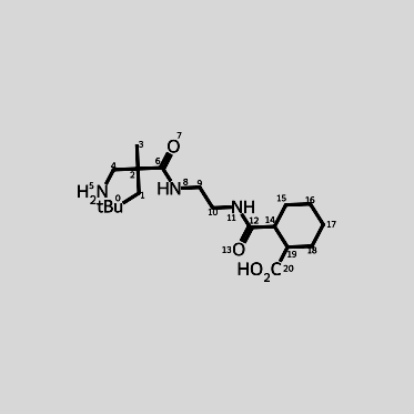 CC(C)(C)CC(C)(CN)C(=O)NCCNC(=O)C1CCCCC1C(=O)O